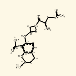 CC(=O)NCC(N)C(=O)N1CC(Oc2ccc3c(c2C(=O)O)OB(O)CC3)C1